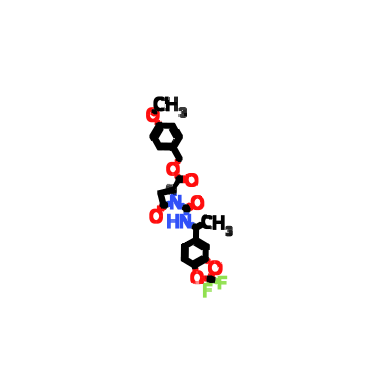 COc1ccc(COC(=O)[C@@H]2CC(=O)N2C(=O)NC(C)c2ccc3c(c2)OC(F)(F)O3)cc1